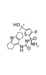 CC(C)(O)c1cc(F)c([S@](N)(=O)=NC(=O)Nc2c3c(nc4c2CCC4)CCC3)s1